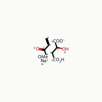 C=CC(=O)OC.O=C(O)CC(O)C(=O)[O-].[Na+]